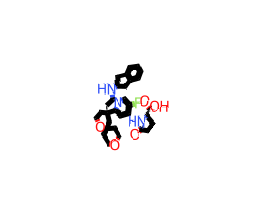 Fc1ccc([C@]2(CCNC3Cc4ccccc4C3)CCOC3(CCOCC3)C2)nc1.O=C1CC[C@@H](C(=O)O)N1